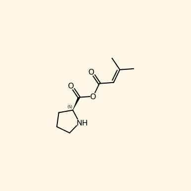 CC(C)=CC(=O)OC(=O)[C@@H]1CCCN1